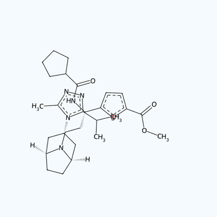 COC(=O)c1ccc([C@H](CCN2[C@@H]3CC[C@H]2C[C@H](n2c(C)nnc2C(C)C)C3)NC(=O)C2CCCC2)s1